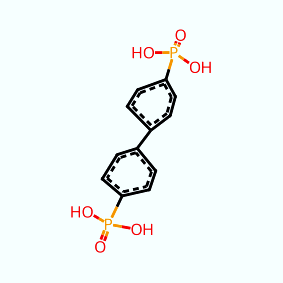 O=P(O)(O)c1ccc(-c2ccc(P(=O)(O)O)cc2)cc1